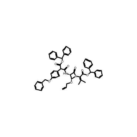 C=CCO[C@H]1[C@@H](NC(=O)C(C(=O)OC(c2ccccc2)c2ccccc2)c2ccc(OCc3ccccc3)cc2)C(=O)N1C(C(=O)OC(c1ccccc1)c1ccccc1)=C(C)C